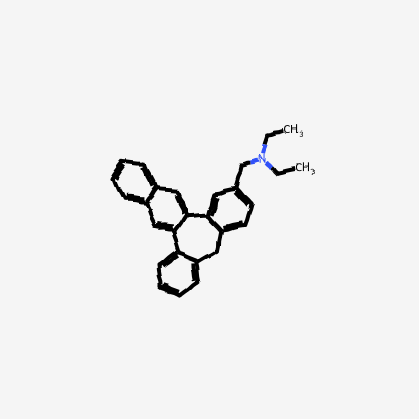 CCN(CC)Cc1ccc2c(c1)-c1cc3ccccc3cc1-c1ccccc1C2